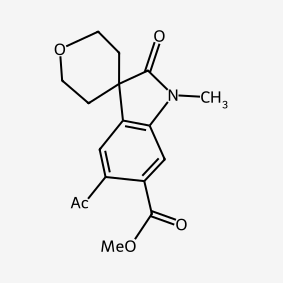 COC(=O)c1cc2c(cc1C(C)=O)C1(CCOCC1)C(=O)N2C